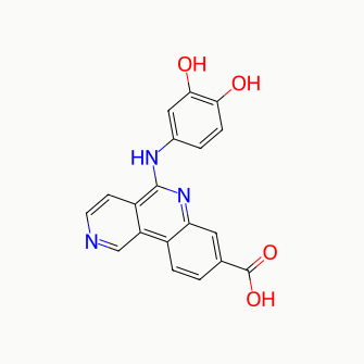 O=C(O)c1ccc2c(c1)nc(Nc1ccc(O)c(O)c1)c1ccncc12